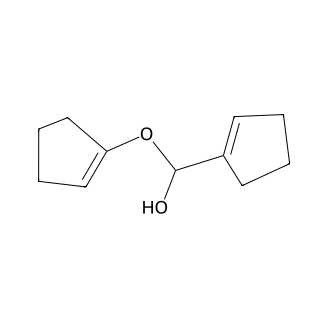 OC(OC1=CCCC1)C1=CCCC1